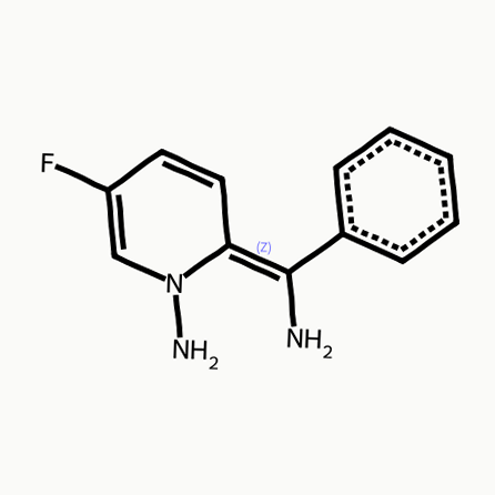 N/C(=C1/C=CC(F)=CN1N)c1ccccc1